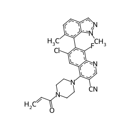 C=CC(=O)N1CCN(c2c(C#N)cnc3c(F)c(-c4c(C)ccc5cnn(C)c45)c(Cl)cc23)CC1